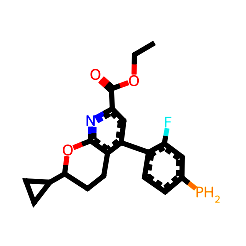 CCOC(=O)c1cc(-c2ccc(P)cc2F)c2c(n1)OC(C1CC1)CC2